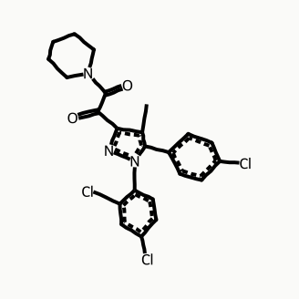 Cc1c(C(=O)C(=O)N2CCCCC2)nn(-c2ccc(Cl)cc2Cl)c1-c1ccc(Cl)cc1